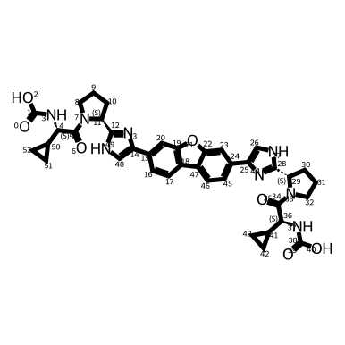 O=C(O)N[C@H](C(=O)N1CCC[C@H]1c1nc(-c2ccc3c(c2)oc2cc(-c4c[nH]c([C@@H]5CCCN5C(=O)[C@@H](NC(=O)O)C5CC5)n4)ccc23)c[nH]1)C1CC1